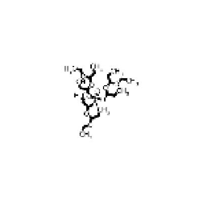 CCOC(CC)OC(CC)OP(=O)(OC(CC)OC(CC)OCC)OC(CC)OC(CC)OCC